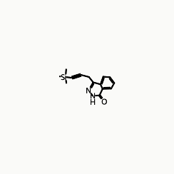 C[Si](C)(C)C#CCc1n[nH]c(=O)c2ccccc12